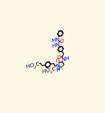 CC(C)CC(NC(=O)Cc1ccc(NC(=O)Nc2ccccc2)cc1)C(=O)NC(Cc1ccc(CCC(=O)O)cc1)C(=O)O